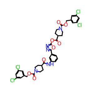 O=C(Nc1cccc(-c2nnc(OC(=O)C3CCN(C(=O)OCc4cc(Cl)cc(Cl)c4)CC3)o2)c1)C1CCN(C(=O)OCc2cc(Cl)cc(Cl)c2)CC1